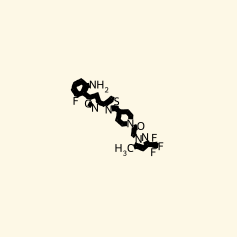 Cc1cc(C(F)(F)F)nn1CC(=O)N1CCC(c2nc(C3=NOC(c4c(N)cccc4F)C3)cs2)CC1